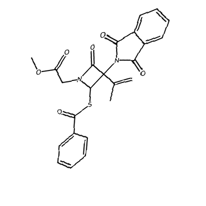 C=C(C)C1(N2C(=O)c3ccccc3C2=O)C(=O)N(CC(=O)OC)C1SC(=O)c1ccccc1